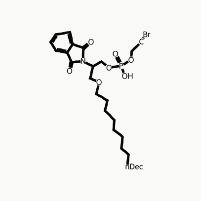 CCCCCCCCCCCCCCCCCCOCC(COP(=O)(O)OCCBr)N1C(=O)c2ccccc2C1=O